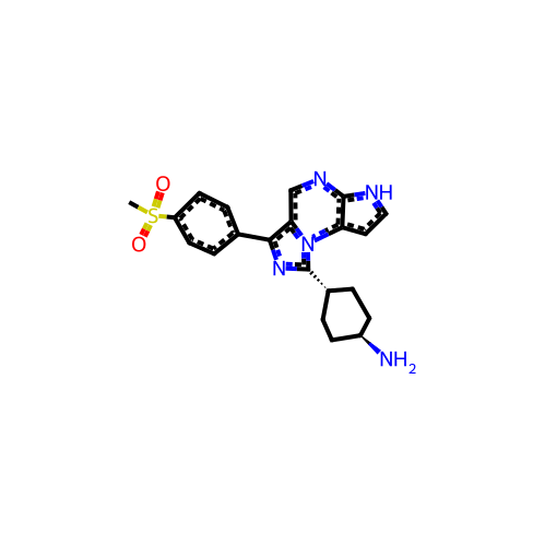 CS(=O)(=O)c1ccc(-c2nc([C@H]3CC[C@H](N)CC3)n3c2cnc2[nH]ccc23)cc1